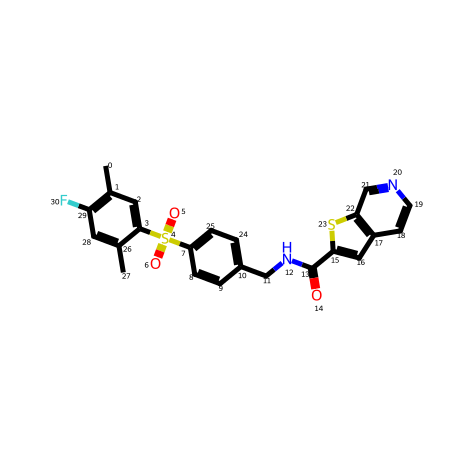 Cc1cc(S(=O)(=O)c2ccc(CNC(=O)c3cc4ccncc4s3)cc2)c(C)cc1F